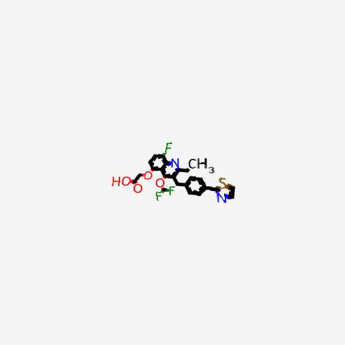 CCc1nc2c(F)ccc(OCC(=O)O)c2c(OC(F)F)c1Cc1ccc(-c2nccs2)cc1